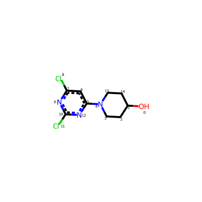 OC1CCN(c2cc(Cl)nc(Cl)n2)CC1